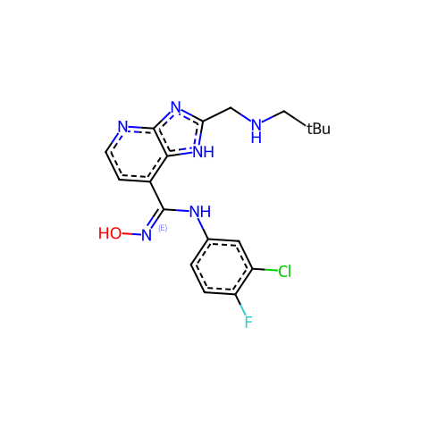 CC(C)(C)CNCc1nc2nccc(/C(=N\O)Nc3ccc(F)c(Cl)c3)c2[nH]1